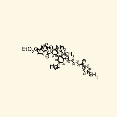 CCOC(=O)n1ccc2c(C(=O)c3ccc(C(=O)N(C)c4ccc(C)cc4OCCCCCC(=O)N4CCN(C)CC4)c(N)c3OC)cccc21.Cl